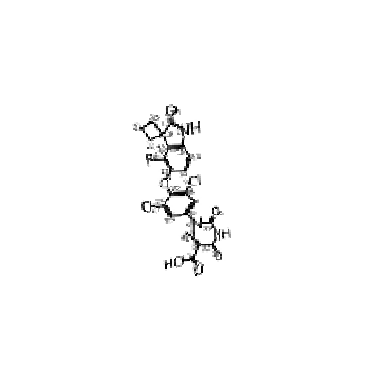 O=C(O)c1nn(-c2cc(Cl)c(Oc3ccc4c(c3F)C3(CCC3)C(=O)N4)c(Cl)c2)c(=O)[nH]c1=O